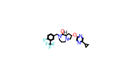 O=C1[C@H]2C[C@H](Oc3cnc(C4CC4)cn3)CN2CCCN1Cc1ccc(F)c(C(F)(F)F)c1